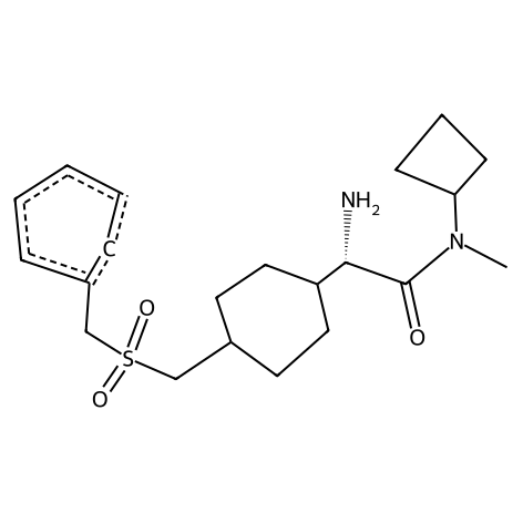 CN(C(=O)[C@@H](N)C1CCC(CS(=O)(=O)Cc2ccccc2)CC1)C1CCC1